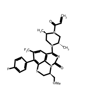 C=CC(=O)N1C[C@H](C)N(c2nc(=O)n3c4c(c(-c5ccc(F)cc5)c(C(F)(F)F)cc24)SC[C@@H]3COC)C[C@H]1C